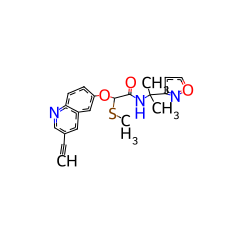 C#Cc1cnc2ccc(OC(SC)C(=O)NC(C)(C)c3ccon3)cc2c1